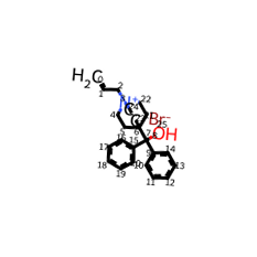 C=CC[N+]12CCC(C(O)(c3ccccc3)c3ccccc3)(CC1)CC2.[Br-]